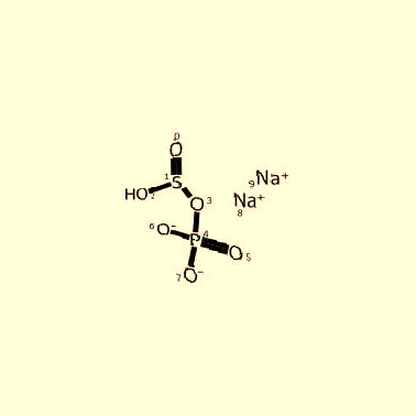 O=S(O)OP(=O)([O-])[O-].[Na+].[Na+]